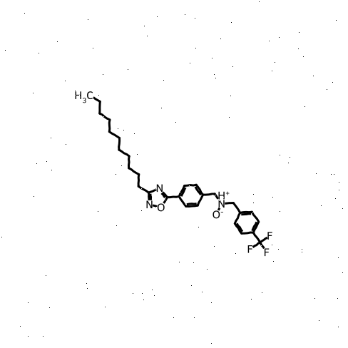 CCCCCCCCCCCc1noc(-c2ccc(C[NH+]([O-])Cc3ccc(C(F)(F)F)cc3)cc2)n1